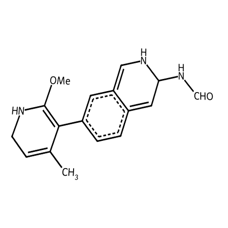 COC1=C(c2ccc3c(c2)=CNC(NC=O)C=3)C(C)=CCN1